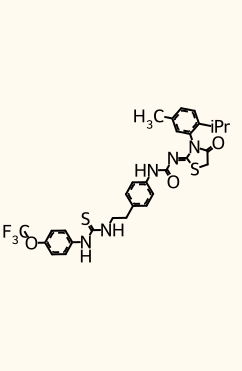 Cc1ccc(C(C)C)c(N2C(=O)CS/C2=N\C(=O)Nc2ccc(CCNC(=S)Nc3ccc(OC(F)(F)F)cc3)cc2)c1